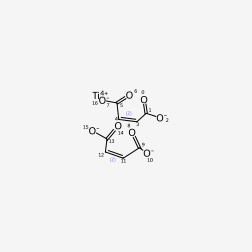 O=C([O-])/C=C\C(=O)[O-].O=C([O-])/C=C\C(=O)[O-].[Ti+4]